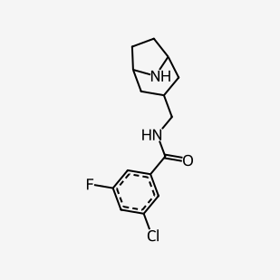 O=C(NCC1CC2CCC(C1)N2)c1cc(F)cc(Cl)c1